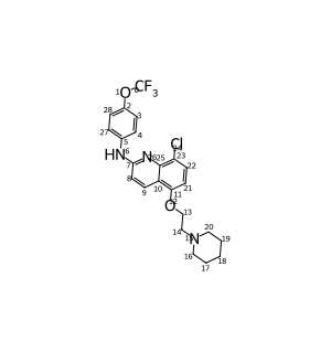 FC(F)(F)Oc1ccc(Nc2ccc3c(OCCN4CCCCC4)ccc(Cl)c3n2)cc1